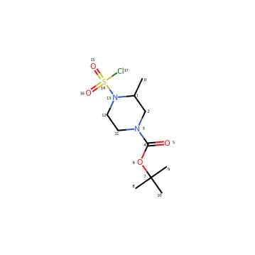 CC1CN(C(=O)OC(C)(C)C)CCN1S(=O)(=O)Cl